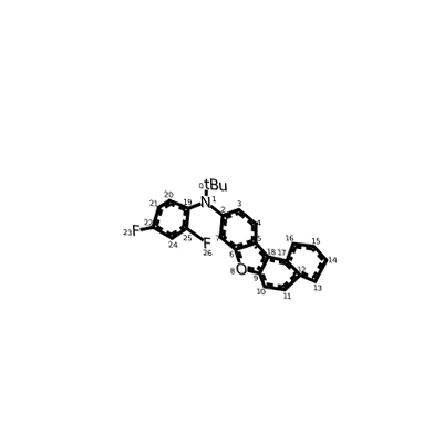 CC(C)(C)N(c1ccc2c(c1)oc1ccc3ccccc3c12)c1ccc(F)cc1F